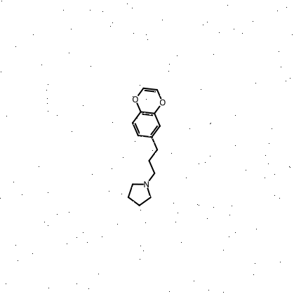 C1=COc2cc(CCCN3CCCC3)ccc2O1